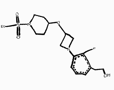 CCS(=O)(=O)N1CCC(OC2CN(c3cccc(CO)c3F)C2)CC1